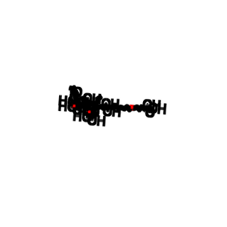 CCCC[C@@H](CCC[C@H](O)[C@H](O)CCCCCCCCCCCCCC[C@H](O)C(=O)O)O[C@H]1OC[C@H](O)[C@@H](O)[C@@H]1O[C@H]1OC[C@H](O)[C@@H](O)[C@@H]1O[C@H]1O[C@@H](COC(=O)CC(C)C)[C@H](O)[C@@H](O)[C@@H]1O